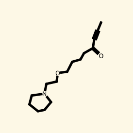 CC#CC(=O)CCCCOCCN1CCCCC1